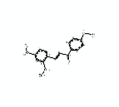 CCOc1ccc(C(=O)C=Cc2ccc(OCC)cc2OCC)cc1